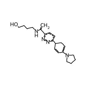 C=C(NCCCCO)c1ccc(C2C=CC(N3CCCC3)=CC2)nn1